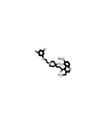 COc1ccc2ncc(CN)c(C(F)CCC3(C(=O)O)CCN(CCOc4cc(F)cc(F)c4)CC3)c2c1